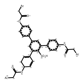 CC(=O)CC(=O)Oc1ccc(-c2cc(C3=CCC(OC(=O)CC(C)=O)C=C3)c(S(=O)(=O)O)c(-c3ccc(OC(=O)CC(C)=O)cc3)c2)cc1